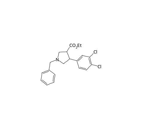 CCOC(=O)C1CN(Cc2ccccc2)CC1c1ccc(Cl)c(Cl)c1